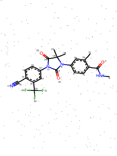 CNC(=O)c1ccc(N2C(=O)N(c3ccc(C#N)c(C(F)(F)F)c3)C(=O)C2(C)C)cc1C